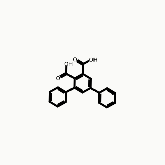 O=C(O)c1cc(-c2ccccc2)cc(-c2ccccc2)c1C(=O)O